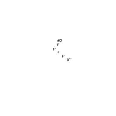 Cl.[F-].[F-].[F-].[F-].[Ti+4]